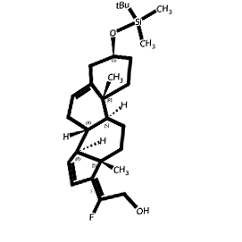 CC(C)(C)[Si](C)(C)O[C@H]1CC[C@@]2(C)C(=CC[C@@H]3[C@@H]2CC[C@]2(C)/C(=C(/F)CO)C=C[C@@H]32)C1